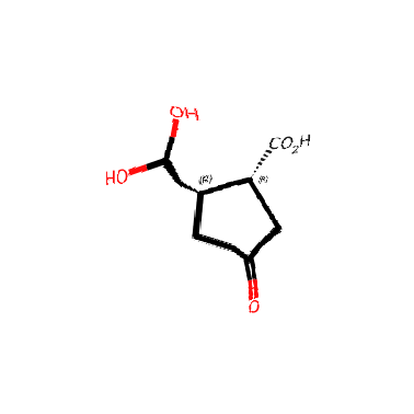 O=C1C[C@@H](C(=O)O)[C@H](C(O)O)C1